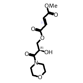 COC(=O)/C=C/C(=O)OC[C@@H](O)C(=O)N1CCOCC1